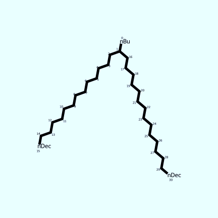 [CH2]CCCC(CCCCCCCCCCCCCCCCCCCCCCC)CCCCCCCCCCCCCCCCCCCCCCCC